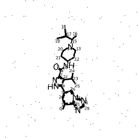 Cc1cc(-c2[nH]nc(C(=O)NC3CCN(C(C)C(C)C)CC3)c2C(C)C)cn2ncnc12